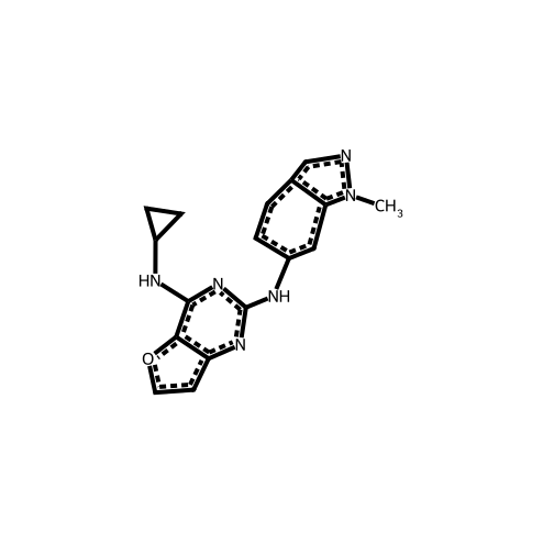 Cn1ncc2ccc(Nc3nc(NC4CC4)c4occc4n3)cc21